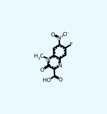 Cn1c(=O)c(C(=O)O)nc2cc(F)c([N+](=O)[O-])cc21